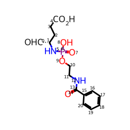 O=C[C@H](CCC(=O)O)NP(=O)(O)OCCNC(=O)c1ccccc1